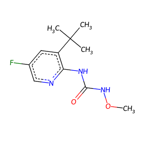 CONC(=O)Nc1ncc(F)cc1C(C)(C)C